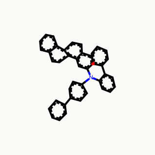 c1ccc(-c2ccc(N(c3ccc4ccc5c6ccccc6ccc5c4c3)c3ccccc3-c3ccccc3)cc2)cc1